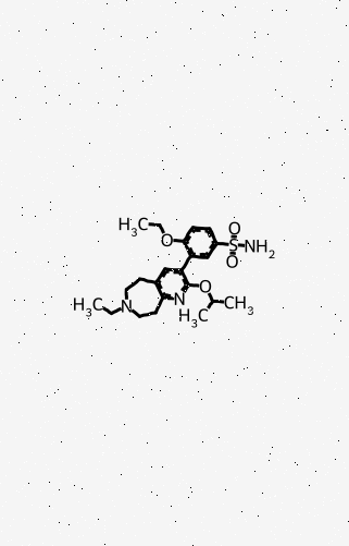 CCOc1ccc(S(N)(=O)=O)cc1-c1cc2c(nc1OC(C)C)CCN(CC)CC2